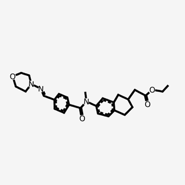 CCOC(=O)CC1CCc2ccc(N(C)C(=O)c3ccc(C=NN4CCOCC4)cc3)cc2C1